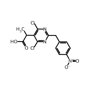 CC(C(=O)O)c1c(Cl)nc(Cc2ccc([N+](=O)[O-])cc2)nc1Cl